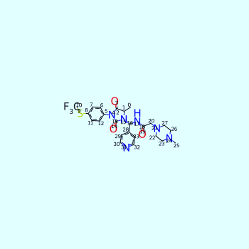 CC1C(=O)N(c2ccc(SC(F)(F)F)cc2)C(=O)N1C(NC(=O)CN1CCN(C)CC1)c1ccncc1